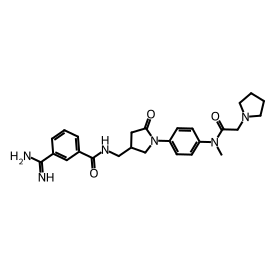 CN(C(=O)CN1CCCC1)c1ccc(N2CC(CNC(=O)c3cccc(C(=N)N)c3)CC2=O)cc1